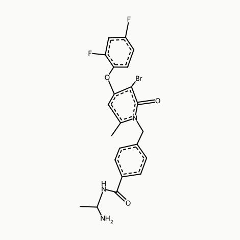 Cc1cc(Oc2ccc(F)cc2F)c(Br)c(=O)n1Cc1ccc(C(=O)NC(C)N)cc1